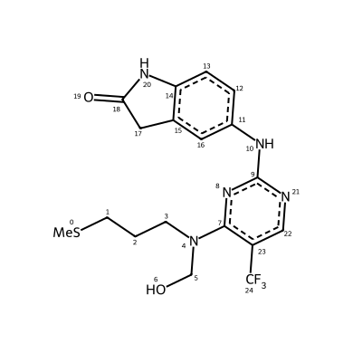 CSCCCN(CO)c1nc(Nc2ccc3c(c2)CC(=O)N3)ncc1C(F)(F)F